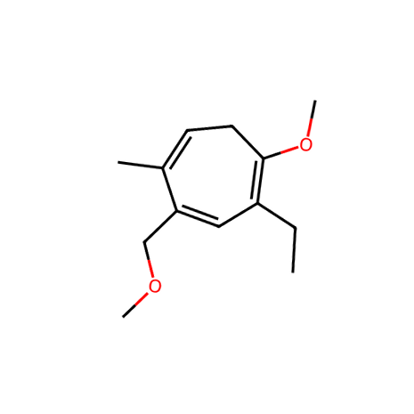 CCC1=C(OC)CC=C(C)C(COC)=C1